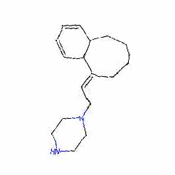 C1=CC2CCCCC(=CCN3CCNCC3)C2C=C1